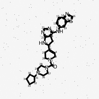 O=C(N1CC=C(C2Cc3c(Nc4ccc5ncsc5c4)ncnc3N2)CC1)N1CCN(C2CCCC2)CC1